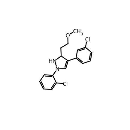 COCCC1NN(c2ccccc2Cl)C=C1c1cccc(Cl)c1